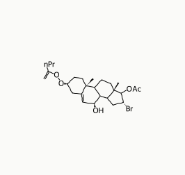 C=C(CCC)OO[C@H]1CC[C@@]2(C)C(=C[C@H](O)C3C4C[C@@H](Br)C(OC(C)=O)[C@@]4(C)CCC32)C1